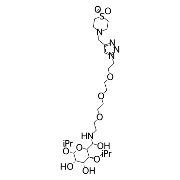 CC(C)O[C@@H]1OC(C(O)NCCOCCOCCOCCn2cc(CN3CCS(=O)(=O)CC3)nn2)[C@@H](OC(C)C)[C@H](O)[C@@H]1O